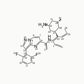 C=C/C(NC(=C)c1ccn2ncc(-c3c(F)cccc3F)c2n1)=C(\C=C/C)[C@@H]1C[C@H](C)C[C@H](N)C1